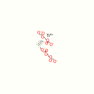 O=C(C[O-])OCCOC(=O)C[O-].O=C(C[O-])OCCOC(=O)C[O-].[CH2][CH2].[CH2][CH2].[CH2][CH2].[CH2][CH2].[CH2][CH2].[CH2][CH2].[Ti+4]